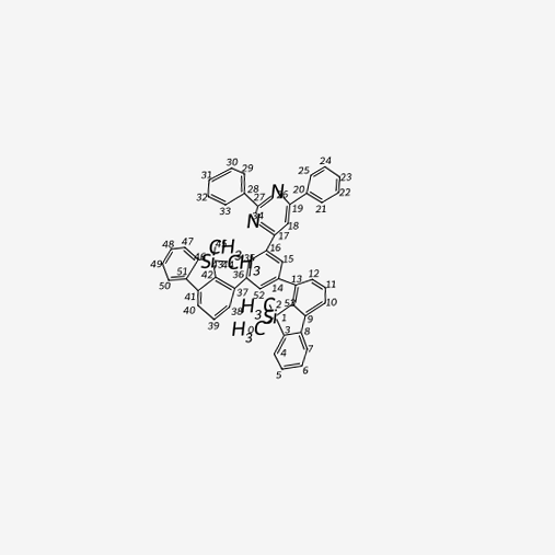 C[Si]1(C)c2ccccc2-c2cccc(-c3cc(-c4cc(-c5ccccc5)nc(-c5ccccc5)n4)cc(-c4cccc5c4[Si](C)(C)c4ccccc4-5)c3)c21